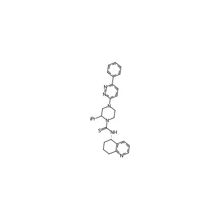 CC(C)C1CN(c2ccc(-c3ccccc3)nn2)CCN1C(=S)N[C@H]1CCCc2ncccc21